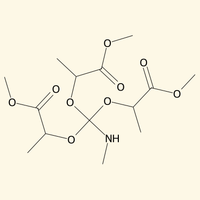 CNC(OC(C)C(=O)OC)(OC(C)C(=O)OC)OC(C)C(=O)OC